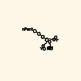 C=C(C)C(=O)OCCCc1cc(-c2ccc(C3C=CC(C4CCC(CCCCC)CC4)=CC3)cc2)cc(CCCOC(=O)C(=C)C)c1OCCC(CO)CO